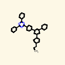 C=CCc1ccc(-c2cc(-c3ccccc3)cc(-c3ccc(-c4nc(-c5ccccc5)nc(-c5ccccc5)n4)cc3)c2)cc1